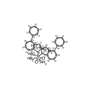 CCC[CH2][Zr](=[SiH2])([Cl])([Cl])([CH2]CCC)([CH]1C(C)=Cc2c(-c3ccccc3)cccc21)[CH]1C(C)=Cc2c(-c3ccccc3)cccc21